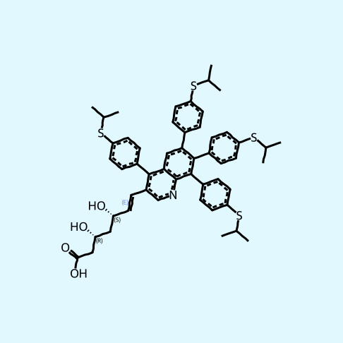 CC(C)Sc1ccc(-c2cc3c(-c4ccc(SC(C)C)cc4)c(/C=C/[C@@H](O)C[C@@H](O)CC(=O)O)cnc3c(-c3ccc(SC(C)C)cc3)c2-c2ccc(SC(C)C)cc2)cc1